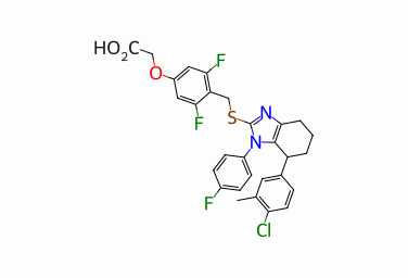 Cc1cc(C2CCCc3nc(SCc4c(F)cc(OCC(=O)O)cc4F)n(-c4ccc(F)cc4)c32)ccc1Cl